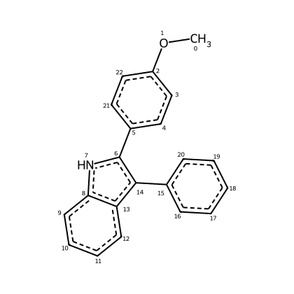 COc1ccc(-c2[nH]c3ccccc3c2-c2ccccc2)cc1